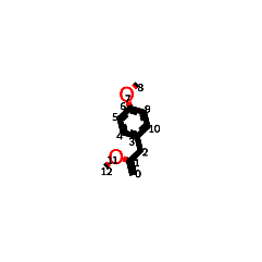 C=C(Cc1ccc(OC)cc1)OC